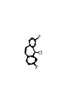 Fc1ccc2c(c1)C(Cl)c1cc(F)ccc1C=C2